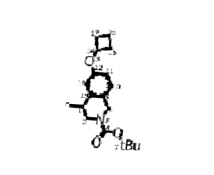 CC1CN(C(=O)OC(C)(C)C)Cc2ccc(OC3CCC3)cc21